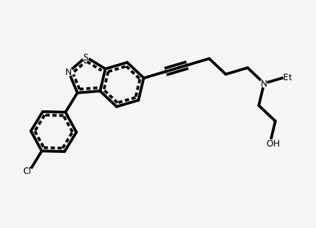 CCN(CCO)CCCC#Cc1ccc2c(-c3ccc(Cl)cc3)nsc2c1